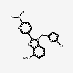 CCN(CC)c1ccc(-c2nc3c(OC)cccc3n2Cc2ccn(CC)n2)cn1